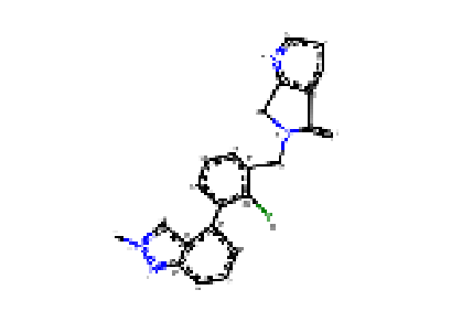 C=C1c2cccnc2CN1Cc1cccc(-c2cccc3nn(C)cc23)c1F